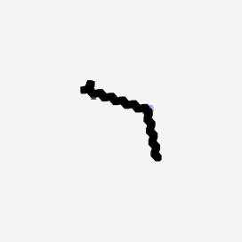 C=C(C)[CH]CCCCCCCC/C=C\CCCCCCCC